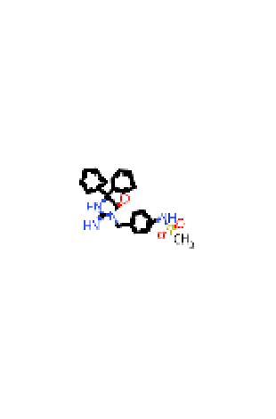 CS(=O)(=O)Nc1ccc(CN2C(=N)NC(c3ccccc3)(c3ccccc3)C2=O)cc1